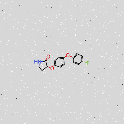 O=C1NCCC1Oc1ccc(Oc2ccc(F)cc2)cc1